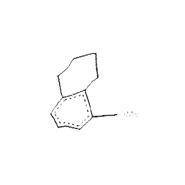 COc1cccc2c1CCC[CH]2